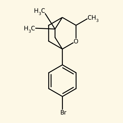 CC1OC2(c3ccc(Br)cc3)CCC1C(C)(C)C2